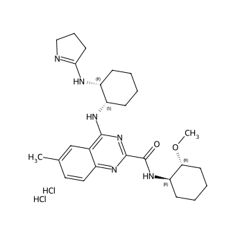 CO[C@@H]1CCCC[C@H]1NC(=O)c1nc(N[C@H]2CCCC[C@H]2NC2=NCCC2)c2cc(C)ccc2n1.Cl.Cl